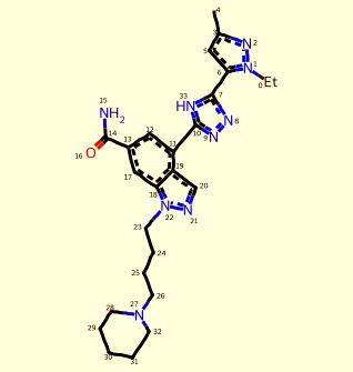 CCn1nc(C)cc1-c1nnc(-c2cc(C(N)=O)cc3c2cnn3CCCCN2CCCCC2)[nH]1